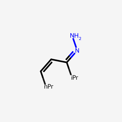 CCC/C=C\C(=N/N)C(C)C